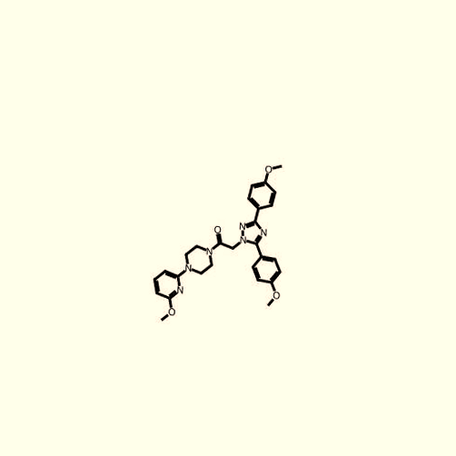 COc1ccc(-c2nc(-c3ccc(OC)cc3)n(CC(=O)N3CCN(c4cccc(OC)n4)CC3)n2)cc1